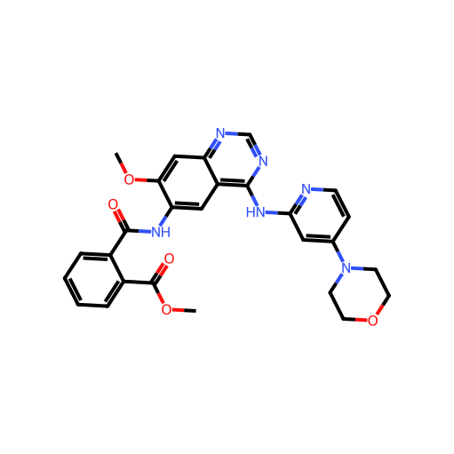 COC(=O)c1ccccc1C(=O)Nc1cc2c(Nc3cc(N4CCOCC4)ccn3)ncnc2cc1OC